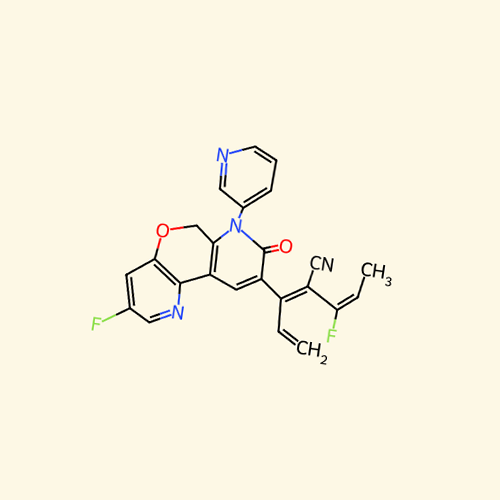 C=C/C(=C(C#N)\C(F)=C/C)c1cc2c(n(-c3cccnc3)c1=O)COc1cc(F)cnc1-2